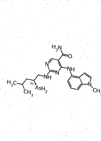 CC(C)C[C@H]([AsH2])CNc1ncc(C(N)=O)c(Nc2cccc3c2ccn3C)n1